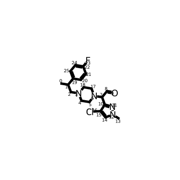 CC(CN1CCN(C(C=O)c2nn(C)cc2Cl)CC1)c1ccc(F)cc1